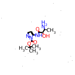 C[C@H](N)C(O)C(=O)Nc1ccnn1C(=O)OC(C)(C)C